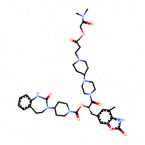 Cc1cc(C[C@@H](OC(=O)N2CCC(N3CCc4ccccc4NC3=O)CC2)C(=O)N2CCN(C3CCN(CCC(=O)OCC(=O)N(C)C)CC3)CC2)cc2oc(=O)[nH]c12